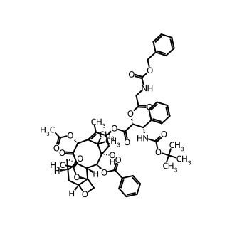 CC(=O)O[C@H]1C(=O)[C@]23C[C@H]2C[C@H]2OC[C@@]2(OC(C)=O)[C@H]3[C@H](OC(=O)c2ccccc2)[C@]2(O)C[C@H](OC(=O)[C@H](OC(=O)CNC(=O)OCc3ccccc3)[C@@H](NC(=O)OC(C)(C)C)c3ccccc3)C(C)=C1C2(C)C